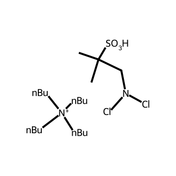 CC(C)(CN(Cl)Cl)S(=O)(=O)O.CCCC[N+](CCCC)(CCCC)CCCC